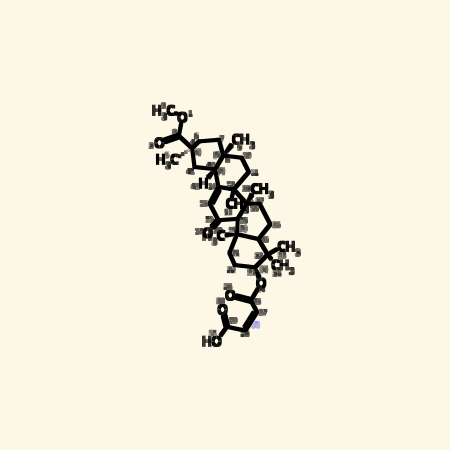 COC(=O)[C@@]1(C)CC[C@]2(C)CCC3(C)C(=CC(=O)C4[C@@]5(C)CC[C@H](OC(=O)/C=C\C(=O)O)C(C)(C)C5CC[C@]43C)[C@@H]2C1